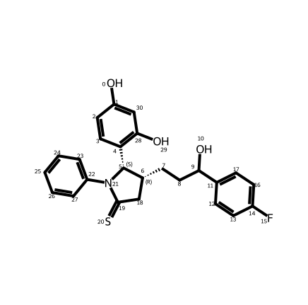 Oc1ccc([C@@H]2[C@H](CCC(O)c3ccc(F)cc3)CC(=S)N2c2ccccc2)c(O)c1